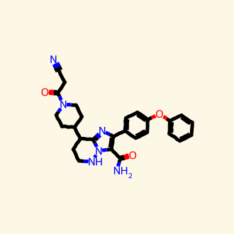 N#CCC(=O)N1CCC(C2CCNn3c2nc(-c2ccc(Oc4ccccc4)cc2)c3C(N)=O)CC1